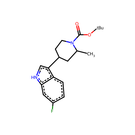 CC1CC(c2c[nH]c3cc(F)ccc23)CCN1C(=O)OC(C)(C)C